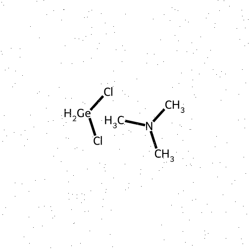 CN(C)C.[Cl][GeH2][Cl]